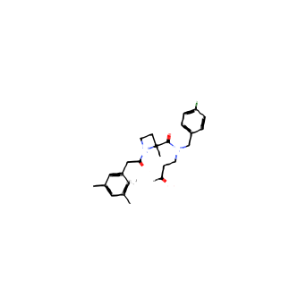 COC(=O)CCN(Cc1ccc(Cl)cc1)C(=O)C1(C)CCN1C(=O)Cc1cc(C)cc(C)c1